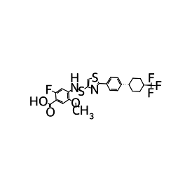 COc1cc(C(=O)O)c(F)cc1NSc1csc(-c2ccc([C@H]3CC[C@H](C(F)(F)F)CC3)cc2)n1